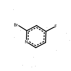 Fc1ccnc(Br)c1